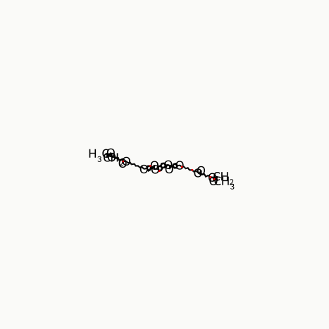 C=C(C)C(=O)OCCCCCC(=O)OCCCCCCCCOc1ccc(C(=O)Oc2ccc3cc(OC(=O)c4ccc(OCCCCCCCCOC(=O)CCCCCOC(=O)C(=C)C)cc4)ccc3c2)cc1